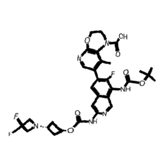 Cc1c(-c2cc3cc(NC(=O)O[C@H]4C[C@@H](N5CC(F)(F)C5)C4)ncc3c(NC(=O)OC(C)(C)C)c2F)cnc2c1N(C(=O)O)CCO2